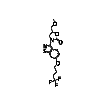 COCC1CN(c2nsc3cc(OCCCC(F)(F)F)ccc23)C(=O)O1